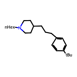 CCCCCCN1CCC(CCCc2ccc(C(C)(C)C)cc2)CC1